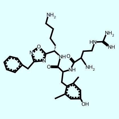 Cc1cc(O)cc(C)c1CC(NC(=O)C(N)CCNC(=N)N)C(=O)N[C@@H](CCCCN)c1nc(Cc2ccccc2)no1